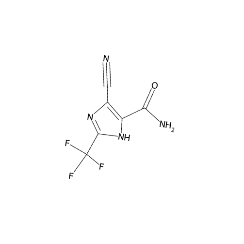 N#Cc1nc(C(F)(F)F)[nH]c1C(N)=O